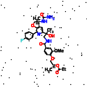 CCC(=O)O[C@H](C)COc1ccc(C(=O)NCC(O)(c2cc3c(c(-c4ccc(F)cc4)n2)OC[C@@]3(C)NC(N)=O)C(F)(F)F)cc1OC